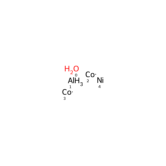 O.[AlH3].[Co].[Co].[Ni]